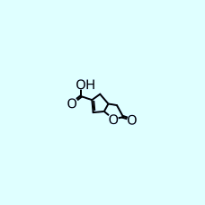 O=C1CC2CC(C(=O)O)=CC2O1